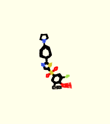 O=Cc1cc(S(=O)(=O)c2cnc(-c3ccc(N4CCCC4)cc3)s2)cc(F)c1O